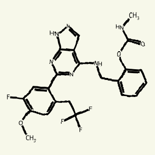 CNC(=O)Oc1ccccc1CNc1nc(-c2cc(F)c(OC)cc2CC(F)(F)F)nc2[nH]ncc12